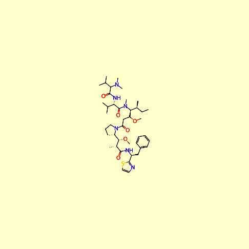 CC[C@H](C)[C@@H](C(CC(=O)N1CCC[C@H]1[C@H](OC)[C@@H](C)C(=O)N[C@@H](Cc1ccccc1)c1nccs1)OC)N(C)C(=O)[C@@H](NC(=O)C(C(C)C)N(C)C)C(C)C